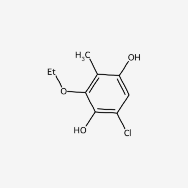 CCOc1c(C)c(O)cc(Cl)c1O